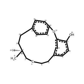 C[C@@H]1CCCCc2ccc(O)c(c2)Oc2ccc(cc2)CC1